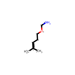 CC(C)=CCCOCN